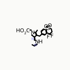 C/C=C\N/C=C1/CN(CC(=O)O)C(C)=C1Cc1ccc2c(c1)C(F)(F)CCS2(=O)=O